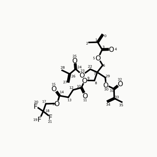 C=C(C)C(=O)OCC(COC(=O)CCC(=O)OCC(F)(F)F)(COC(=O)C(=C)C)COC(=O)C(=C)C